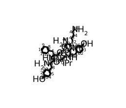 CC(C)[C@H](NC(=O)[C@H](Cc1ccccc1)NC(=O)[C@@H](N)Cc1ccc(O)cc1)C(=O)N[C@@H](Cc1ccc(O)cc1)C(=O)N[C@@H](CCCCN)C(N)=O